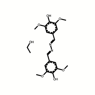 CCO.COc1cc(/C=N/N=C/c2cc(OC)c(O)c(OC)c2)cc(OC)c1O